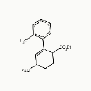 CCOC(=O)C1CCC(OC(C)=O)C=C1c1ccccc1C